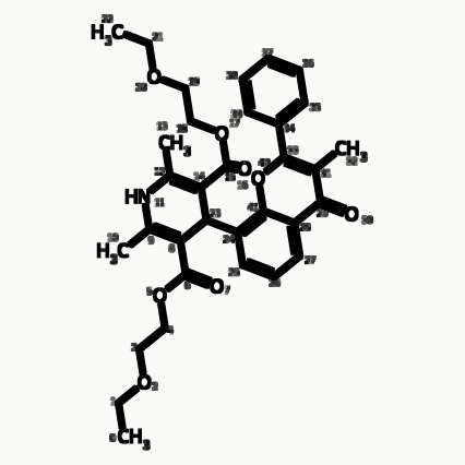 CCOCCOC(=O)C1=C(C)NC(C)=C(C(=O)OCCOCC)C1c1cccc2c(=O)c(C)c(-c3ccccc3)oc12